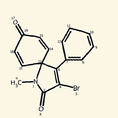 CN1C(=O)C(Br)=C(c2ccccc2)C12C=CC(=O)C=C2